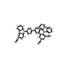 N#Cc1cc(C#N)c(-n2c3ccccc3c3ccccc32)c(-c2cccc(-c3ccc(-n4c5ccccc5c5cc(C#N)ccc54)cc3)c2)c1